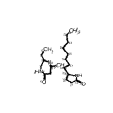 CCC1CNC(=O)CC(C)=N1.CCCCCCCCC1CCC(=O)N1